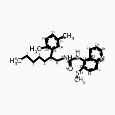 CCCCCC(CNC(=O)Nc1c(SC)ccc2ncccc12)c1cc(C)ccc1C